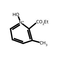 CCOC(=O)c1c(C)ccc[n+]1O